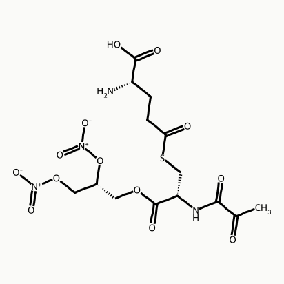 CC(=O)C(=O)N[C@@H](CSC(=O)CC[C@H](N)C(=O)O)C(=O)OC[C@H](CO[N+](=O)[O-])O[N+](=O)[O-]